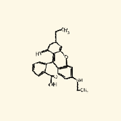 CCNc1ccc2c(c1)OC1=CC(CC)CC(=N)C1=C2c1ccccc1C(=O)O